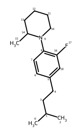 CC(C)CCc1ccc(N2CCCCC2C)c(F)c1